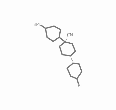 CCCC1CCC([C@]2(C#N)CC[C@@H](C3CCC(CC)CC3)CC2)CC1